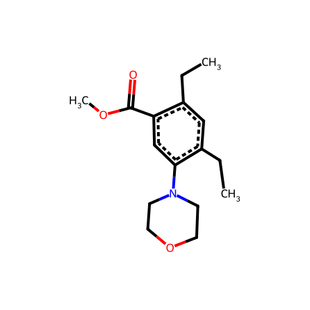 CCc1cc(CC)c(N2CCOCC2)cc1C(=O)OC